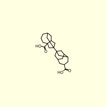 O=C(O)C1CC2CC3CC(C45CC6CCCC(C(=O)O)(C4)C(C6)C5)(C2)CC3C1